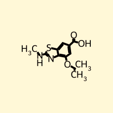 CNc1nc2c(OC(C)C)cc(C(=O)O)cc2s1